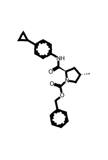 C[C@H]1C[C@H](C(=O)Nc2ccc(C3CC3)cc2)N(C(=O)OCc2ccccc2)C1